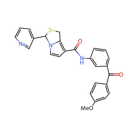 COc1ccc(C(=O)c2cccc(NC(=O)c3ccn4c3CSC4c3cccnc3)c2)cc1